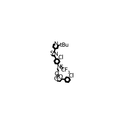 CC(C)(C)c1cc(-c2nc(-c3ccc(N(CCOP4OCCC(c5cccc(Cl)c5)O4)SC(F)(F)F)cc3Cl)cs2)ccn1